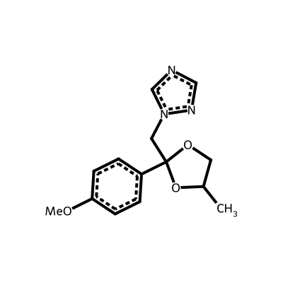 COc1ccc(C2(Cn3cncn3)OCC(C)O2)cc1